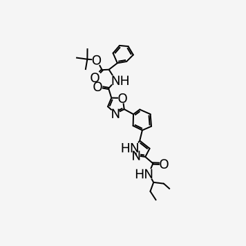 CCC(CC)NC(=O)c1cc(-c2cccc(-c3ncc(C(=O)NC(C(=O)OC(C)(C)C)c4ccccc4)o3)c2)[nH]n1